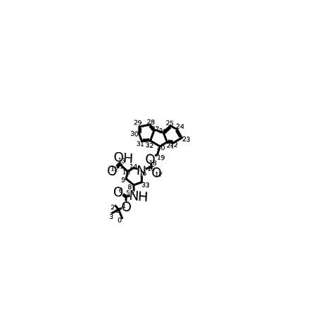 CC(C)(C)OC(=O)NC1CC(C(=O)O)CN(C(=O)OCC2c3ccccc3-c3ccccc32)C1